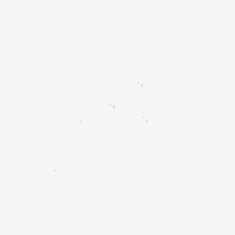 c1ccc(-c2nc(-c3ccccc3)nc(-n3c4ccc5ccccc5c4c4c5ccccc5c5c6ccccc6sc5c43)n2)cc1